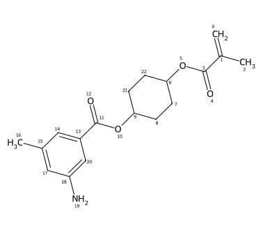 C=C(C)C(=O)OC1CCC(OC(=O)c2cc(C)cc(N)c2)CC1